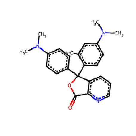 COc1cc(N(C)C)ccc1C1(c2ccc(N(C)C)cc2)OC(=O)c2ncccc21